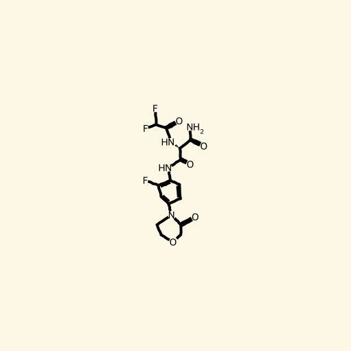 NC(=O)[C@@H](NC(=O)C(F)F)C(=O)Nc1ccc(N2CCOCC2=O)cc1F